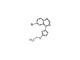 CCSc1ccc(-c2ncnc3ccc(Br)cc23)s1